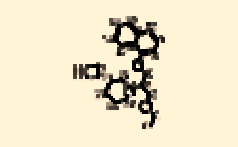 CCOCC(COc1cccc2ccccc12)N1CCCCC1.Cl